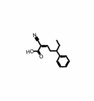 CCC(CC=C(C#N)C(=O)O)c1ccccc1